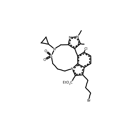 CCOC(=O)c1c(CCCBr)c2ccc(Cl)c3c2n1CCCS(=O)(=O)N(C1CC1)Cc1nn(C)c(C)c1-3